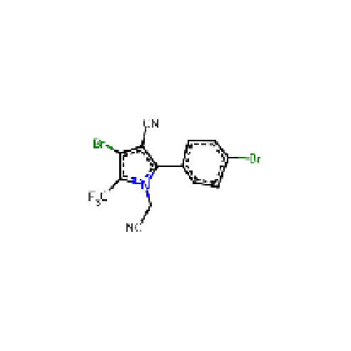 N#CCn1c(-c2ccc(Br)cc2)c(C#N)c(Br)c1C(F)(F)F